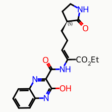 CCOC(=O)C(=CCC[C@H]1CCNC1=O)NC(=O)c1nc2ccccc2nc1O